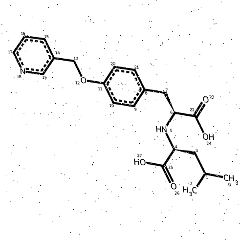 CC(C)C[C@H](N[C@@H](Cc1ccc(OCc2cccnc2)cc1)C(=O)O)C(=O)O